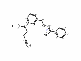 C#CCCN(C(=O)O)c1cccc(CO/N=C(\C#N)c2ccccc2)n1